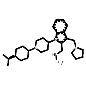 CC(C)=C1CCC(N2CCC(n3c(CNC(=O)O)c(CN4CCCC4)c4ccccc43)CC2)CC1